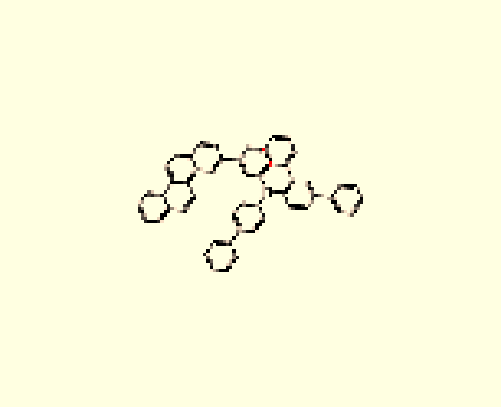 c1ccc(-c2ccc(N(c3cccc(-c4ccc5ccc6c7ccccc7ccc6c5c4)c3)c3ccc(-c4ccccc4)cc3-c3ccccc3)cc2)cc1